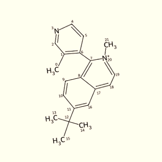 Cc1cnccc1-c1c2ccc(C(C)(C)C)cc2cc[n+]1C